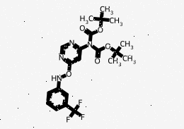 CC(C)(C)OC(=O)N(C(=O)OC(C)(C)C)c1cc(ONc2cccc(C(F)(F)F)c2)ncn1